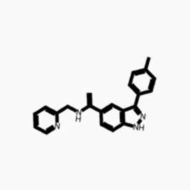 C=C(NCc1ccccn1)c1ccc2[nH]nc(-c3ccc(C)cc3)c2c1